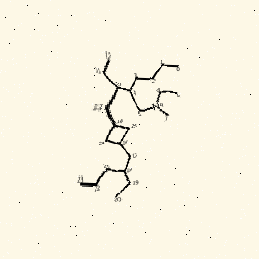 CCCCC(CN(C)CC)C(CC)CC1CC(CC(CC)CCC)C1